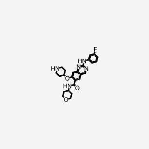 O=C(NC1CCOCC1)c1cc2cnc(Nc3cccc(F)c3)nc2cc1OC1CCNCC1